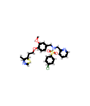 COc1cc(CN(Cc2ccccn2)S(=O)(=O)c2ccc(Cl)cc2)ccc1OCCc1scnc1C